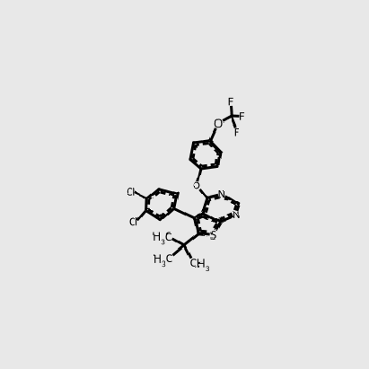 CC(C)(C)c1sc2ncnc(Oc3ccc(OC(F)(F)F)cc3)c2c1-c1ccc(Cl)c(Cl)c1